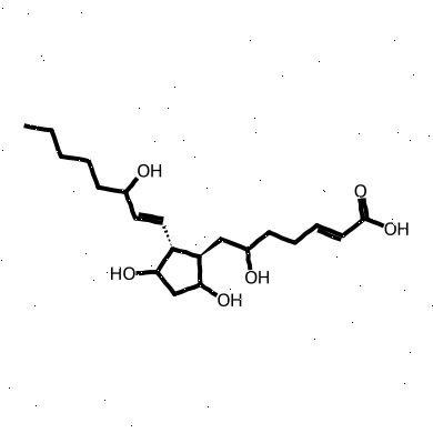 CCCCCC(O)C=C[C@H]1C(O)CC(O)[C@@H]1CC(O)CC/C=C/C(=O)O